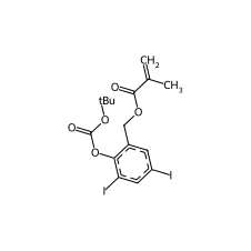 C=C(C)C(=O)OCc1cc(I)cc(I)c1OC(=O)OC(C)(C)C